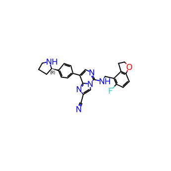 N#Cc1cn2c(NCc3c(F)ccc4c3CCO4)ncc(-c3ccc([C@H]4CCCN4)cc3)c2n1